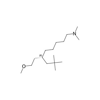 COCC[C@H](CCCCCN(C)C)CC(C)(C)C